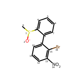 C[S+]([O-])c1ccccc1-c1cccc([N+](=O)[O-])c1Br